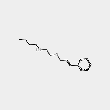 CCCCNCCOCC=Cc1ccccc1